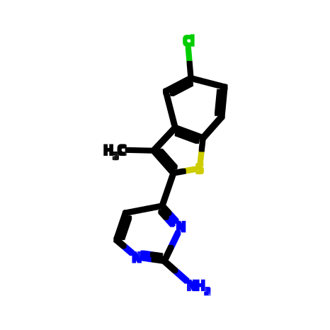 Cc1c(-c2ccnc(N)n2)sc2ccc(Cl)cc12